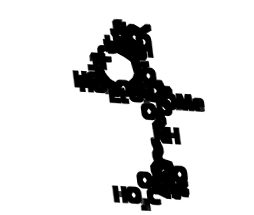 CC[C@H]1OC(=O)[C@H](C)[C@@H](O[C@H]2C[C@@](C)(OC)[C@@H](OC(=O)CCNCCCc3cc4c5c(c3)c(=O)c(C(=O)O)cn5C(C)(C)CO4)[C@H](C)O2)[C@H](C)[C@@H](O[C@@H]2O[C@H](C)C[C@H](N(C)C)[C@H]2O)[C@](C)(O)C[C@@H](C)CN(C)[C@H](C)[C@@H](O)[C@]1(C)O